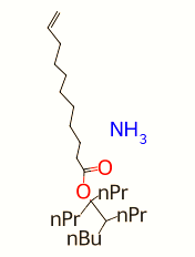 C=CCCCCCCCCC(=O)OC(CCC)(CCC)C(CCC)CCCC.N